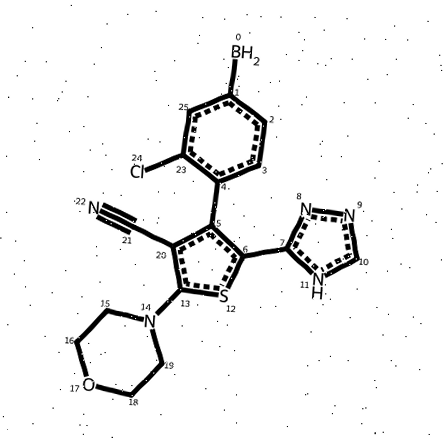 Bc1ccc(-c2c(-c3nnc[nH]3)sc(N3CCOCC3)c2C#N)c(Cl)c1